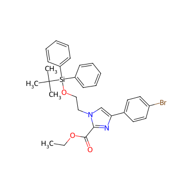 CCOC(=O)c1nc(-c2ccc(Br)cc2)cn1CCO[Si](c1ccccc1)(c1ccccc1)C(C)(C)C